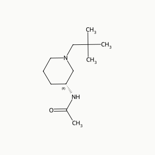 CC(=O)N[C@@H]1CCCN(CC(C)(C)C)C1